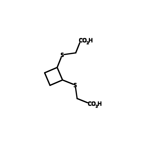 O=C(O)CSC1CCC1SCC(=O)O